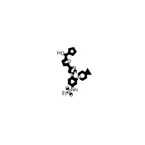 CCS(=O)(=O)Nc1ccc(-n2cc(-c3ccc(C(O)C4CCCC4)o3)nn2)c(N2CCC3(CC2)CC3)c1